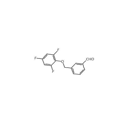 O=Cc1cccc(COc2c(F)cc(F)cc2F)c1